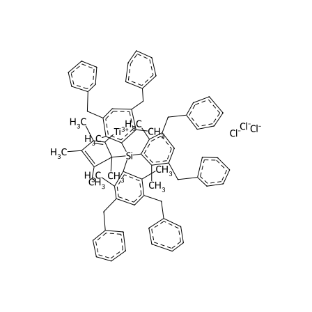 CC1=C(C)C(C)([Si](c2c(C)c(Cc3ccccc3)cc(Cc3ccccc3)c2C)(c2c(C)c(Cc3ccccc3)cc(Cc3ccccc3)c2C)c2c(C)c(Cc3ccccc3)cc(Cc3ccccc3)c2C)[C]([Ti+3])=C1C.[Cl-].[Cl-].[Cl-]